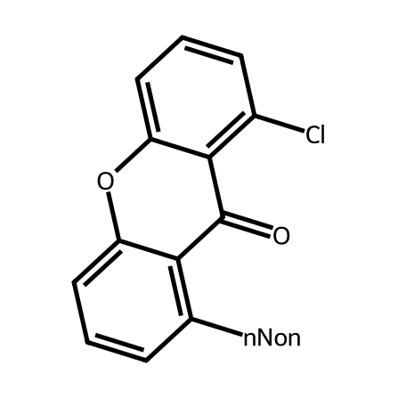 CCCCCCCCCc1cccc2oc3cccc(Cl)c3c(=O)c12